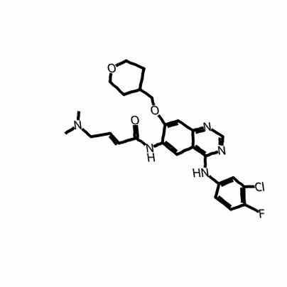 CN(C)CC=CC(=O)Nc1cc2c(Nc3ccc(F)c(Cl)c3)ncnc2cc1OCC1CCOCC1